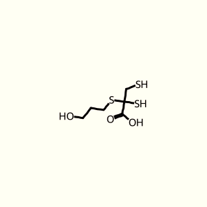 O=C(O)C(S)(CS)SCCCO